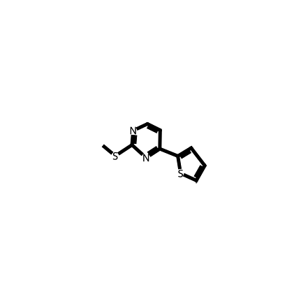 CSc1nccc(-c2cc[c]s2)n1